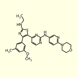 CCNc1nc(-c2cc(C)cc(OC)c2)c(-c2ccnc(Nc3ccc(N4CCOCC4)nc3)n2)s1